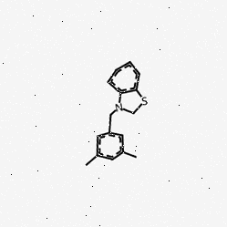 Cc1cc(C)cc(CN2CSc3ccccc32)c1